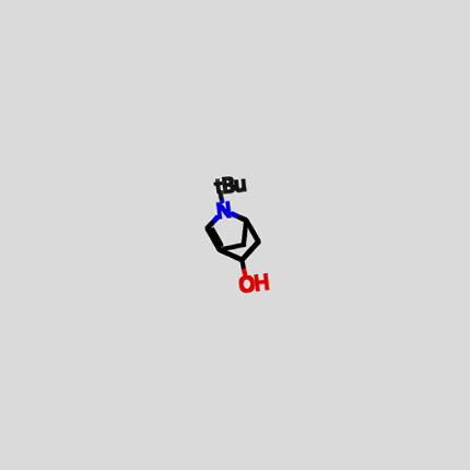 CC(C)(C)N1C=C2CC1CC2O